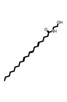 CCCCCCCCC=CCC=CCC=CCCCC(=O)NCCO